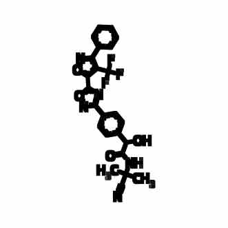 CC(C)(C#N)NC(=O)C(O)c1ccc(-c2noc(-c3onc(-c4ccccc4)c3C(F)(F)F)n2)cc1